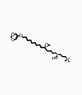 COC(CCCCCCCCCOC1=COCOC1)CCCCP(O)CCC[N+](C)(C)C